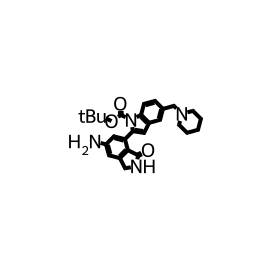 CC(C)(C)OC(=O)n1c(-c2cc(N)cc3c2C(=O)NC3)cc2cc(CN3CCCCC3)ccc21